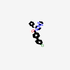 O=C(c1ccc(-c2ccc(Cl)cc2)cc1)N1CCN(c2ncccn2)C[C@@H]1Cc1ccccc1